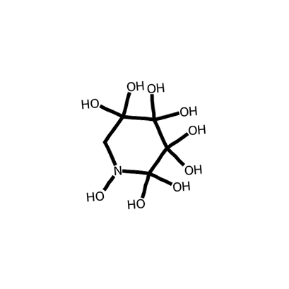 ON1CC(O)(O)C(O)(O)C(O)(O)C1(O)O